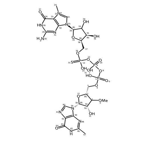 COC1[C@@H](COP(=O)(O)OP(=O)(O)OP(O)(=S)OC[C@H]2O[C@@H](n3c[n+](C)c4c(=O)[nH]c(N)nc43)C(O)[C@H]2O)O[C@@H](n2cnc3c(=O)[nH]c(C)nc32)[C@H]1O